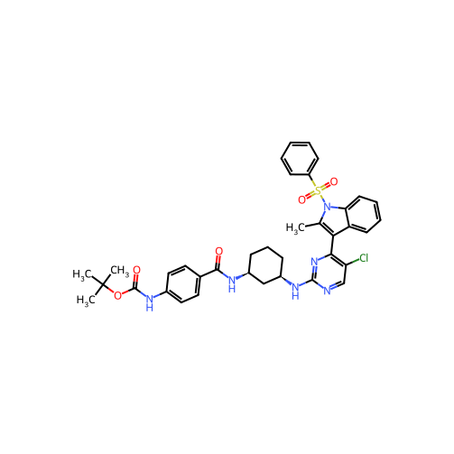 Cc1c(-c2nc(N[C@@H]3CCC[C@H](NC(=O)c4ccc(NC(=O)OC(C)(C)C)cc4)C3)ncc2Cl)c2ccccc2n1S(=O)(=O)c1ccccc1